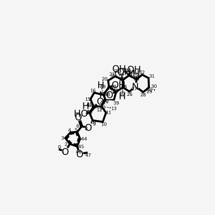 COc1ccc(C(=O)O[C@H]2CC[C@@]3(C)[C@@H]4CC[C@H]5[C@]6(O)C[C@H](O)[C@@]7(O)[C@@H](CN8C[C@@H](C)CC[C@H]8[C@@]7(C)O)[C@]6(O)C[C@@]53O[C@@]24O)cc1OC